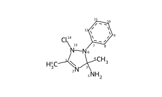 CC1=NC(C)(N)N(c2ccccc2)N1Cl